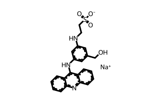 O=S(=O)([O-])CCNc1cc(CO)cc(Nc2c3ccccc3nc3ccccc23)c1.[Na+]